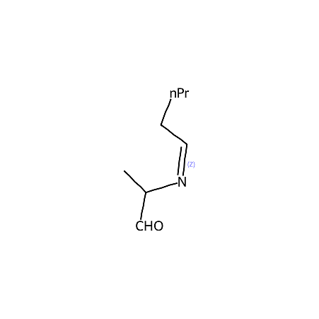 CCCC/C=N\C(C)C=O